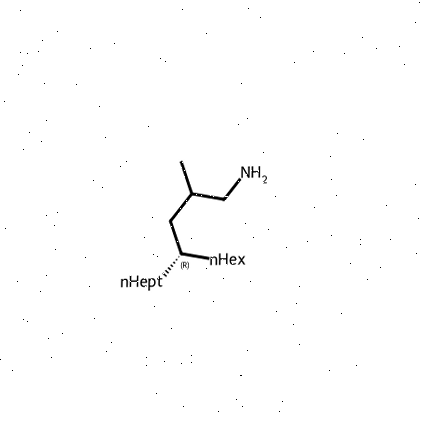 CCCCCCC[C@@H](CCCCCC)CC(C)CN